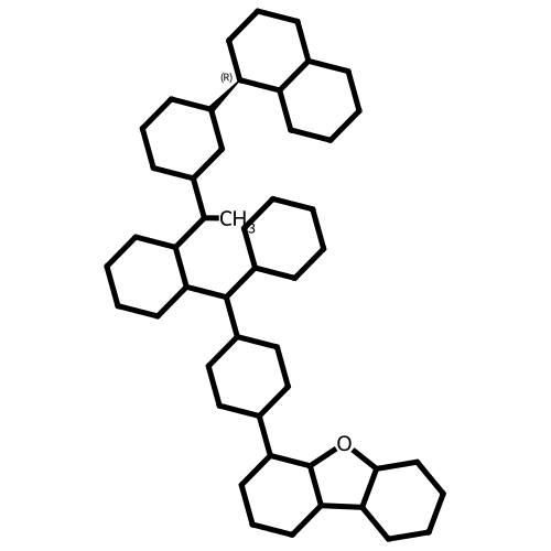 CC(C1CCCC([C@H]2CCCC3CCCCC32)C1)C1CCCCC1C(C1CCCCC1)C1CCC(C2CCCC3C4CCCCC4OC23)CC1